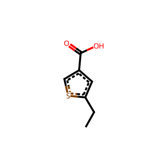 CCc1cc(C(=O)O)cs1